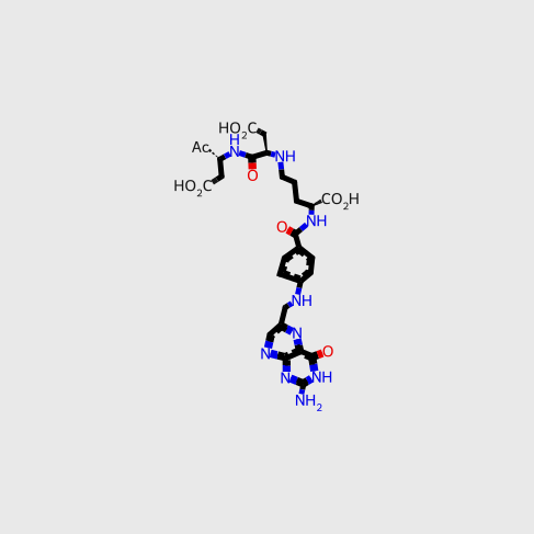 CC(=O)[C@@H](CC(=O)O)NC(=O)[C@@H](CC(=O)O)NCCC[C@H](NC(=O)c1ccc(NCc2cnc3nc(N)[nH]c(=O)c3n2)cc1)C(=O)O